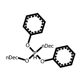 CCCCCCCCCCO[PH](CCCCCCCCCC)(Oc1ccccc1)Oc1ccccc1